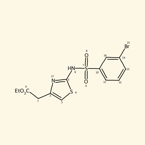 CCOC(=O)Cc1csc(NS(=O)(=O)c2cccc(Br)c2)n1